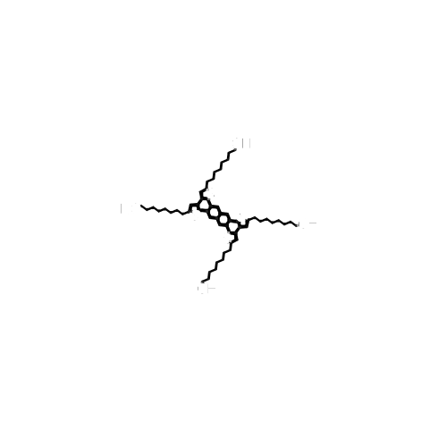 CCCCCCCCCc1cc2c3cc(CCCCCCCCC)sc3c3cc4cc5c(cc4cc3c2s1)c1sc(CCCCCCCCC)cc1c1cc(CCCCCCCCC)sc15